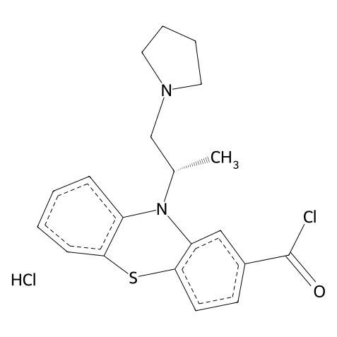 C[C@@H](CN1CCCC1)N1c2ccccc2Sc2ccc(C(=O)Cl)cc21.Cl